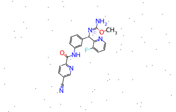 CO/C(N)=N\C(c1cccc(NC(=O)c2ccc(C#N)cn2)c1)c1ncccc1F